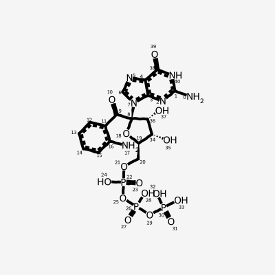 Nc1nc2c(ncn2[C@]2(C(=O)c3ccccc3N)O[C@H](COP(=O)(O)OP(=O)(O)OP(=O)(O)O)[C@@H](O)[C@H]2O)c(=O)[nH]1